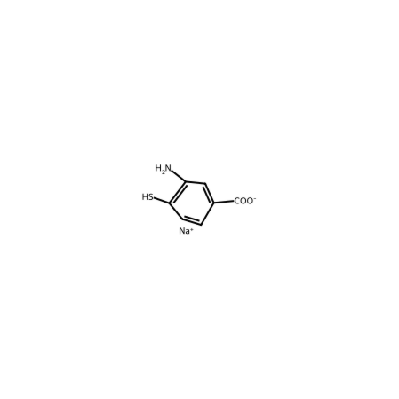 Nc1cc(C(=O)[O-])ccc1S.[Na+]